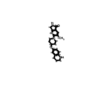 Cc1cc2c(nc1N1CCC(Oc3ccc4c(c3)CCCN4)CC1)CNC2=O